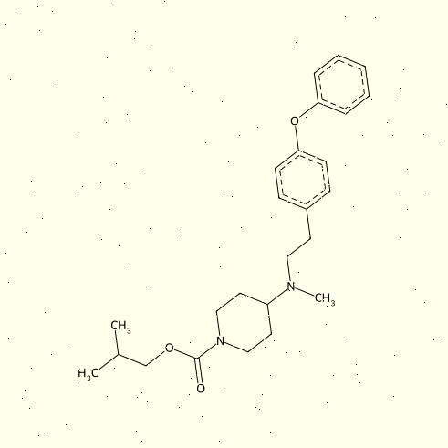 CC(C)COC(=O)N1CCC(N(C)CCc2ccc(Oc3ccccc3)cc2)CC1